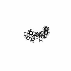 COCC1CCCN1C(c1cccc(Cl)c1)c1cnc(NC(=O)C2(c3ccc4c(c3)OCO4)CC2)s1